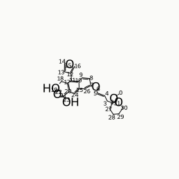 COC1(CC=COc2ccc3c(-c4ccoc4)c(CO)c(C(=O)O)cc3c2)CCCCO1